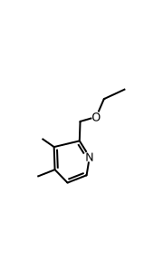 CCOCc1nccc(C)c1C